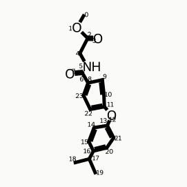 COC(=O)CNC(=O)c1ccc(Oc2ccc(C(C)C)cc2)cc1